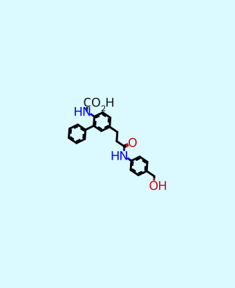 O=C(O)Nc1ccc(CCC(=O)Nc2ccc(CO)cc2)cc1-c1ccccc1